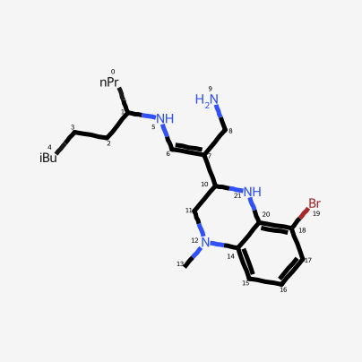 CCCC(CCC(C)CC)N/C=C(\CN)C1CN(C)c2cccc(Br)c2N1